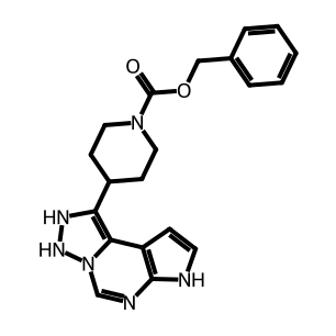 O=C(OCc1ccccc1)N1CCC(C2=C3c4cc[nH]c4N=CN3NN2)CC1